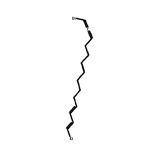 CCC=C=CCCCCCCCC=CC=CCC